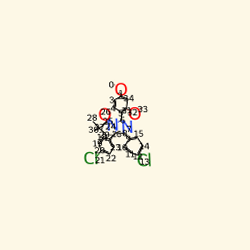 COc1ccc(C2=NC(c3ccc(Cl)cc3)C(c3ccc(Cl)cc3)N2C(=O)C(C)(C)C)c(OC)c1